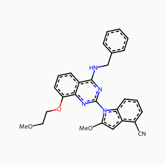 COCCOc1cccc2c(NCc3ccccc3)nc(-n3c(OC)cc4c(C#N)cccc43)nc12